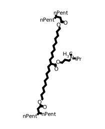 CCCCCC(CCCCC)CC(=O)OCCCCCCCCCCC(CCCCCCCCCCOC(=O)CC(CCCCC)CCCCC)C(=O)OCCCN(C)C(C)C